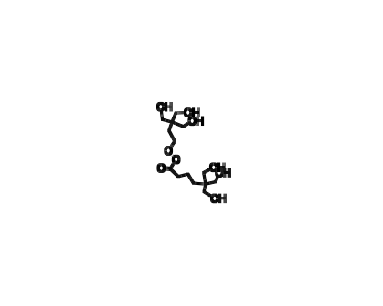 O=C(CCCC(CO)(CO)CO)OOCCC(CO)(CO)CO